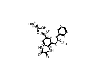 Br.CN(Cc1ccccc1)Cc1cc([N+](=O)[O-])cc2[nH]c(=O)c(=O)[nH]c12.O=[PH](O)O